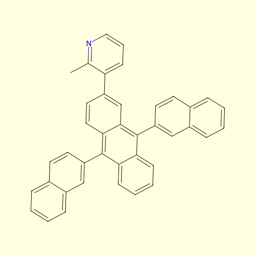 Cc1ncccc1-c1ccc2c(-c3ccc4ccccc4c3)c3ccccc3c(-c3ccc4ccccc4c3)c2c1